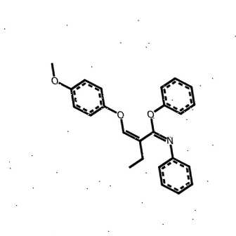 CCC(=COc1ccc(OC)cc1)C(=Nc1ccccc1)Oc1ccccc1